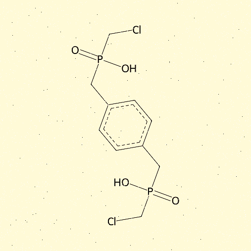 O=P(O)(CCl)Cc1ccc(CP(=O)(O)CCl)cc1